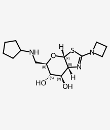 O[C@H]1[C@H](O)[C@@H](CNC2CCCC2)O[C@@H]2SC(N3CCC3)=N[C@H]12